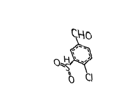 O=Cc1ccc(Cl)c([SH](=O)=O)c1